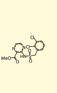 COC(=O)c1nccnc1NS(=O)(=O)Cc1cccc(Cl)c1Cl